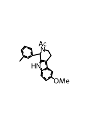 COc1ccc2[nH]c3c(c2c1)CCN(C(C)=O)C3c1cccc(C)c1